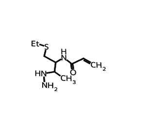 C=CC(=O)NC(CSCC)C(C)NN